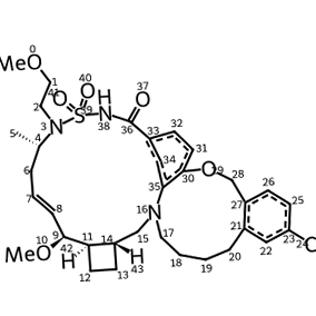 COCCN1[C@@H](C)C/C=C/[C@H](OC)[C@@H]2CC[C@H]2CN2CCCCc3cc(Cl)ccc3COc3ccc(cc32)C(=O)NS1(=O)=O